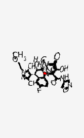 COCCn1nc(C)c([C@@H](c2cc(F)ccc2C#N)[C@H](C)c2nc(C(=O)Nc3cnoc3)c(O)c(=O)n2C)c1C